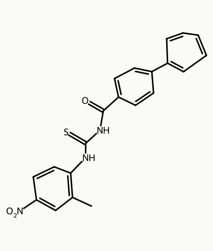 Cc1cc([N+](=O)[O-])ccc1NC(=S)NC(=O)c1ccc(-c2ccccc2)cc1